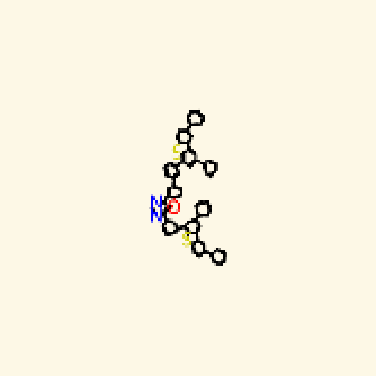 c1ccc(-c2ccc3sc4c(-c5cccc(-c6ccc7oc8c(-c9cccc(-c%10cc(-c%11ccccc%11)cc%11c%10sc%10ccc(-c%12ccccc%12)cc%10%11)c9)ncnc8c7c6)c5)cc(-c5ccccc5)cc4c3c2)cc1